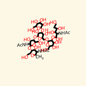 CC(=O)NC1C(O)[C@H](O[C@@H]2OC(CO[C@H]3OC(CO)[C@@H](O)C(O)C3O[C@H](O)C(NC(C)=O)C(O)[C@H](O)CCO)[C@@H](O)C(O[C@H]3OC(CO)[C@@H](O)C(O)C3O)C2O)C(CO)O[C@H]1O[C@@H]1C(CO)O[C@@H](C)C(NC(C)=O)C1O